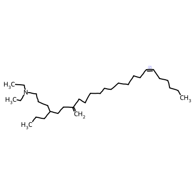 C=C(CCCCCCCCCC/C=C\CCCCC)CCC(CCC)CCCN(CC)CC